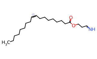 CCCCCCCC/C=C\CCCCCCCC(=O)OCCC=N